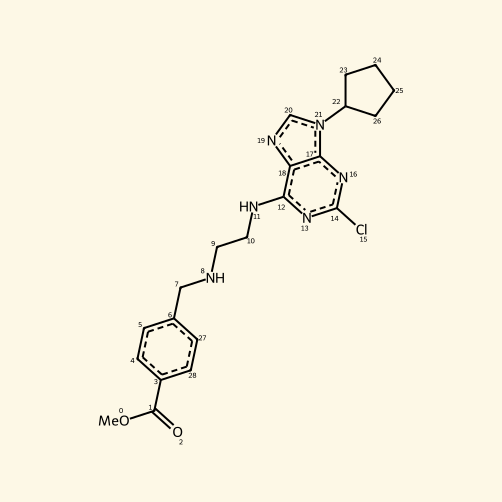 COC(=O)c1ccc(CNCCNc2nc(Cl)nc3c2ncn3C2CCCC2)cc1